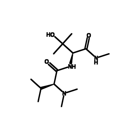 CNC(=O)[C@@H](NC(=O)[C@H](C(C)C)N(C)C)C(C)(C)O